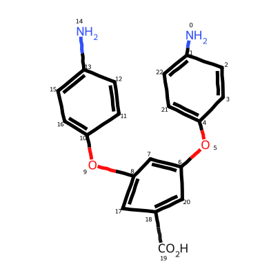 Nc1ccc(Oc2cc(Oc3ccc(N)cc3)cc(C(=O)O)c2)cc1